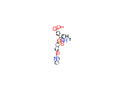 CC(Cc1ccc(C(=O)O)cc1)NS(=O)(=O)c1ccc2ccc(OCc3ccc4ccccc4n3)cc2c1